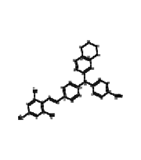 [C-]#[N+]c1cc(C#N)cc([N+]#[C-])c1C=Cc1ccc(N(c2ccc(OC)cc2)c2ccc3c(c2)CCCC3)cc1